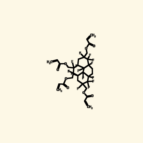 C=CC(=O)OCC1(F)CC2(F)C(F)(COC(=O)C=C)C(F)(COC(=O)C=C)C3(F)CC(F)(COC(=O)C=C)C(F)(F)C4(F)CCC(F)(C1(F)F)C2(F)C43F